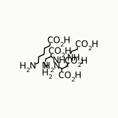 NC(CC(=O)O)C(=O)O.NCC(N)C(=O)O.NCCC(=O)O.NCCCCCC(=O)O